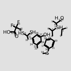 CC(C)[SiH](C(C)C)C(C)C.CC(S)S.CSc1ccccc1.Cc1cccc(O)c1.O.O=C(O)C(F)(F)F